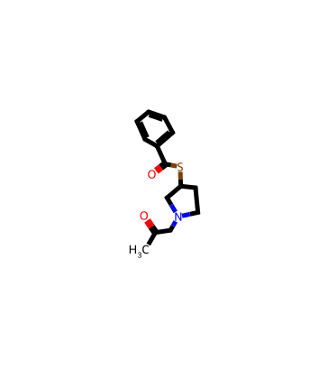 CC(=O)CN1CCC(SC(=O)c2ccccc2)C1